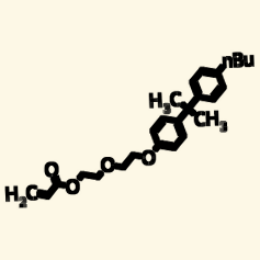 C=CC(=O)OCCOCCOc1ccc(C(C)(C)c2ccc(CCCC)cc2)cc1